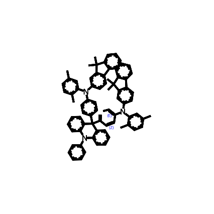 C=C(/C=C\C(=C/C)N(c1ccc2c(c1)C(C)(C)c1ccccc1-2)c1cc(C)ccc1C)C1(c2ccc(N(c3ccc4c(c3)C(C)(C)c3ccccc3-4)c3cc(C)ccc3C)cc2)c2ccccc2N(c2ccccc2)c2ccccc21